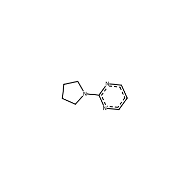 [c]1cnc(N2CCCC2)nc1